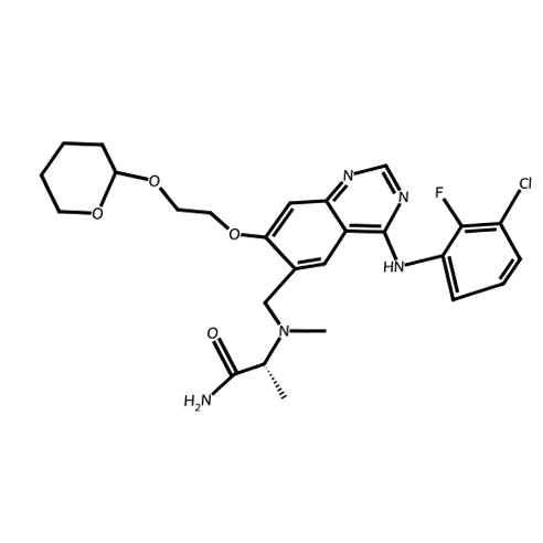 C[C@H](C(N)=O)N(C)Cc1cc2c(Nc3cccc(Cl)c3F)ncnc2cc1OCCOC1CCCCO1